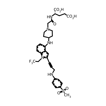 CS(=O)(=O)c1ccc(NCC#Cc2cc3c(NC4CCN(CC(=O)N[C@@H](CCC(=O)O)C(=O)O)CC4)cccc3n2CC(F)(F)F)cc1